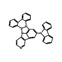 c1ccc2c(c1)B1N(c3ccccc3-2)c2cc(-n3c4ccccc4c4ccccc43)cc3c4cnccc4n1c23